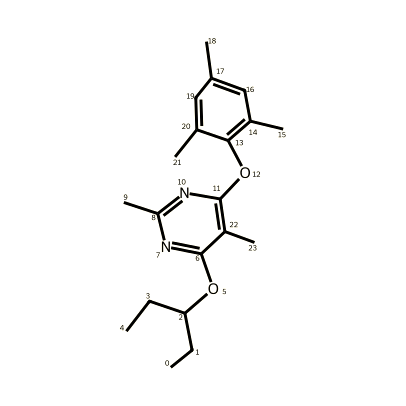 CCC(CC)Oc1nc(C)nc(Oc2c(C)cc(C)cc2C)c1C